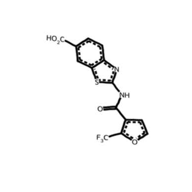 O=C(O)c1ccc2nc(NC(=O)c3ccoc3C(F)(F)F)sc2c1